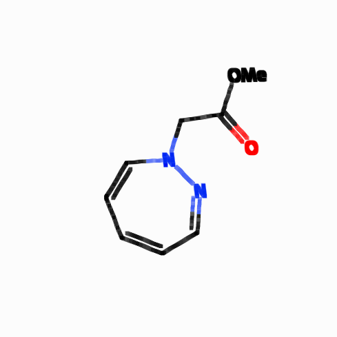 COC(=O)CN1C=CC=CC=N1